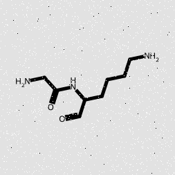 NCCCCC(C=O)NC(=O)CN